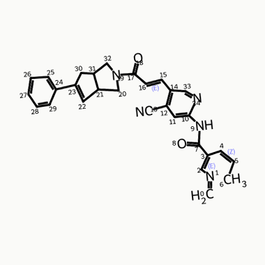 C=N/C=C(\C=C/C)C(=O)Nc1cc(C#N)c(/C=C/C(=O)N2CC3C=C(c4ccccc4)CC3C2)cn1